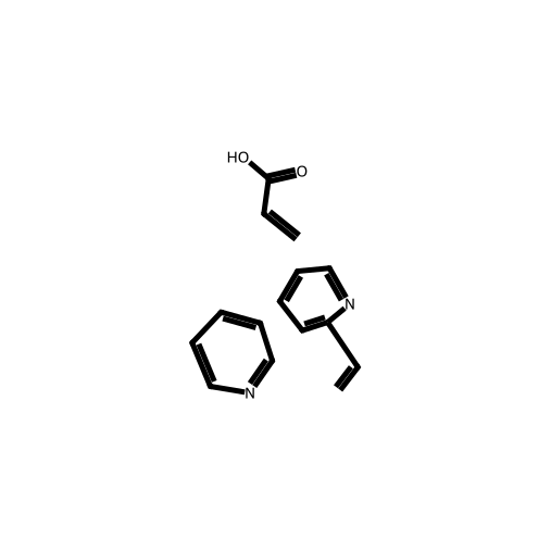 C=CC(=O)O.C=Cc1ccccn1.c1ccncc1